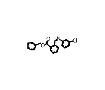 O=C(OCc1ccccc1)c1ccccc1/C=N\c1cccc(Cl)c1